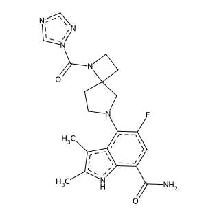 Cc1[nH]c2c(C(N)=O)cc(F)c(N3CCC4(CCN4C(=O)n4cncn4)C3)c2c1C